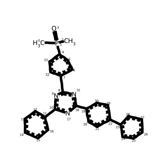 CP(C)(=O)c1ccc(-c2nc(-c3ccccc3)nc(-c3ccc(-c4ccccc4)cc3)n2)cc1